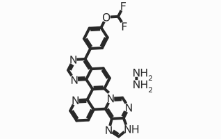 Cc1ccc2c(-c3ccc(OC(F)F)cc3)ncnc2c1-c1ncccc1-c1ncnc2[nH]cnc12.NN